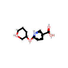 O=C(O)c1ccc(OC2CCCOC2)nc1